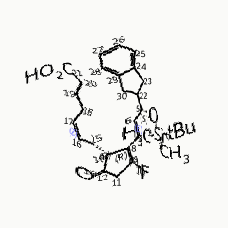 CC(C)(C)[Si](C)(C)O[C@H](/C=C/[C@H]1[C@@H](F)CC(=O)[C@@H]1C/C=C\CCCC(=O)O)C1Cc2ccccc2C1